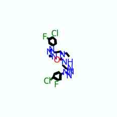 CCN(Cc1ncnn1-c1ccc(Cl)c(F)c1)C(=O)NCc1nnnn1-c1ccc(Cl)c(F)c1